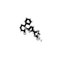 O=C1CCCC(c2ccccc2)N1c1ccc(-c2noc(C(F)(F)F)n2)s1